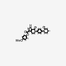 COc1ccc(OC(=O)c2n[nH]c3c2CCN(c2ccc(N4CCCCC4=O)cc2)C3=O)cc1